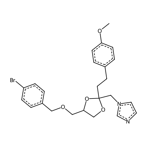 COc1ccc(CCC2(Cn3ccnc3)OCC(COCc3ccc(Br)cc3)O2)cc1